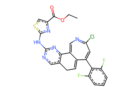 CCOC(=O)c1csc(Nc2ncc3c(n2)C2=CN=C(Cl)C=C(c4c(F)cccc4F)C2=CC3)n1